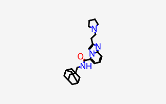 O=C(NCC12CC3CC(CC(C3)C1)C2)c1cccc2nc(CCN3CCCC3)cn12